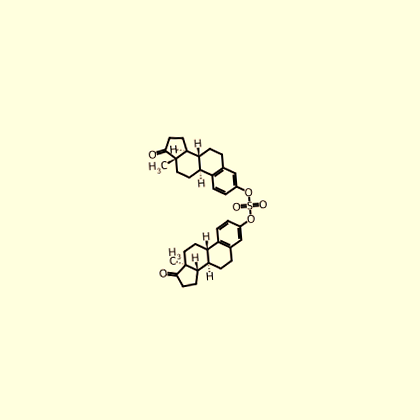 C[C@]12CC[C@@H]3c4ccc(OS(=O)(=O)Oc5ccc6c(c5)CC[C@@H]5[C@@H]6CC[C@]6(C)C(=O)CC[C@@H]56)cc4CC[C@H]3[C@@H]1CCC2=O